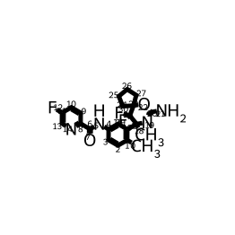 Cc1ccc(NC(=O)c2ccc(F)cn2)cc1C1(C)N=C(N)OC2(CCCC2)C1(F)F